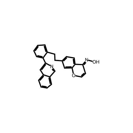 ON=c1ccoc2cc(CCc3ccccc3-c3cc4ccccc4cn3)ccc12